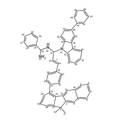 CC1(C)c2cc3ccccc3cc2-c2c(-c3ccc(/C=C/C(NC(N)c4ccccc4)n4c5ccccc5c5cc(-c6ccccc6)ccc54)cc3)cccc21